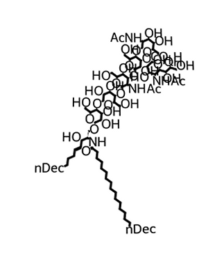 CCCCCCCCCCCCC/C=C/[C@@H](O)[C@H](CO[C@@H]1OC(CO)[C@@H](O[C@@H]2OC(CO)[C@H](O[C@@H]3OC(CO)[C@H](O)[C@H](O[C@@H]4OC(CO)[C@H](O[C@@H]5OC(CO)[C@H](O)[C@H](O)C5NC(C)=O)[C@H](O[C@]5(C(=O)O)CC(O)[C@@H](NC(C)=O)C([C@H](O)[C@H](O)CO)O5)C4O)C3NC(C)=O)[C@H](O)C2O)[C@H](O)C1O)NC(=O)CCCCCCCCCCCCCCCCCCCCCCCCC